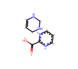 C1=CNCNC1.O=C(O)c1ncccn1